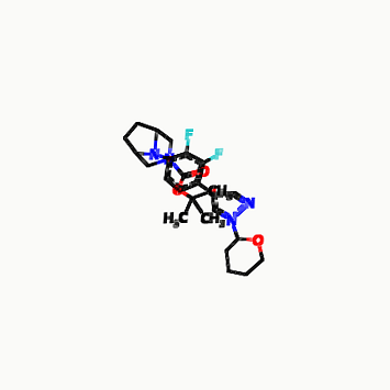 CC(C)(C)OC(=O)N1CC2CCC(C1)N2c1ccc(-c2cnn(C3CCCCO3)c2)c(F)c1F